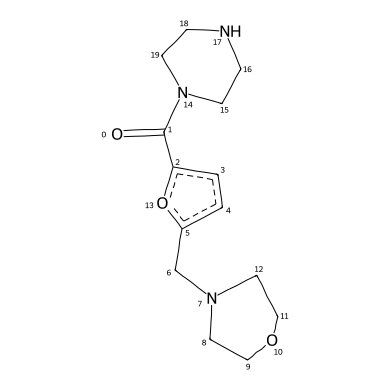 O=C(c1ccc(CN2CCOCC2)o1)N1CCNCC1